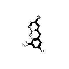 [O-][n+]1ncc(O)cc1Cc1cc(C(F)(F)F)cc(C(F)(F)F)c1